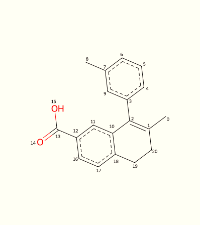 CC1=C(c2cccc(C)c2)c2cc(C(=O)O)ccc2CC1